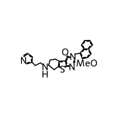 COc1ccc2ccccc2c1Cn1cnc2sc3c(c2c1=O)CCC(NCCc1cccnc1)C3